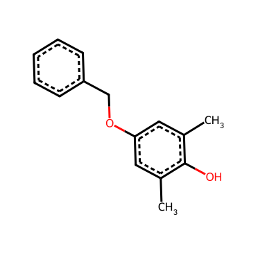 Cc1cc(OCc2ccccc2)cc(C)c1O